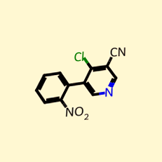 N#Cc1cncc(-c2ccccc2[N+](=O)[O-])c1Cl